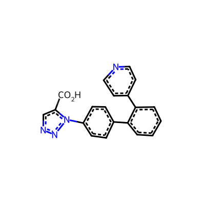 O=C(O)c1cnnn1-c1ccc(-c2ccccc2-c2ccncc2)cc1